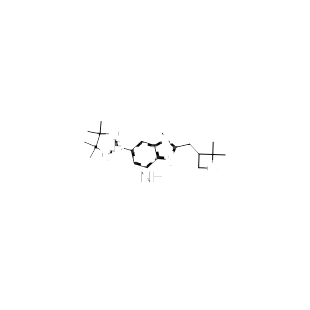 CC1(C)OCC1Cc1nc2cc(B3OC(C)(C)C(C)(C)O3)ccc2s1.N